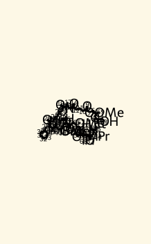 CCC(CO)OC(COC(=O)CCCC(=O)NC(C)C(=O)OCCCNC(=O)[C@H](Cc1ccccc1)N(C)C(=O)[C@H](C)[C@@H](OC)[C@@H]1CCCN1C(=O)C[C@@H](OC)[C@H]([C@@H](C)CC)N(C)C(=O)[C@@H](NC(=O)[C@H](C(C)C)N(C)C)C(C)C)OC